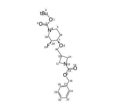 CC(C)(C)OC(=O)N1CC[C@@H](OCC2CN(C(=O)OCc3ccccc3)C2)[C@@H](F)C1